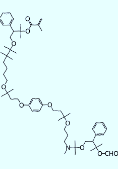 C=C(C)C(=O)OC(C)(C)C(COC(C)(C)C(C)(C)CCCCOC(C)(C)CCOc1ccc(OCCC(C)(C)OCCCN(C)C(C)(C)OCC(c2ccccc2)C(C)(C)OC=O)cc1)c1ccccc1